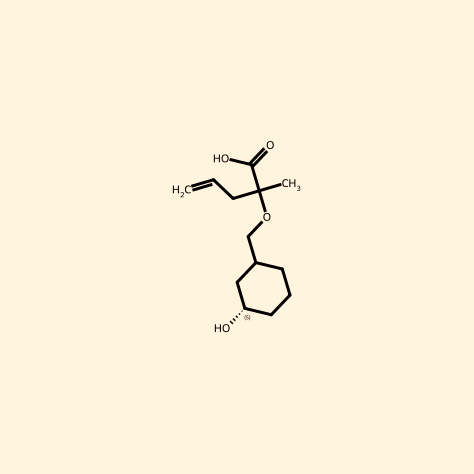 C=CCC(C)(OCC1CCC[C@H](O)C1)C(=O)O